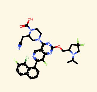 CC(C)N1CC(F)(F)CC1COc1nc(N2CCN(C(=O)O)C(CC#N)C2)c2cnc(-c3cccc4ccc(F)c(Cl)c34)c(F)c2n1